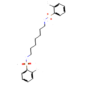 O=[N+]([O-])c1ccccc1S(=O)(=O)NCCCCCCCNS(=O)(=O)c1ccccc1[N+](=O)[O-]